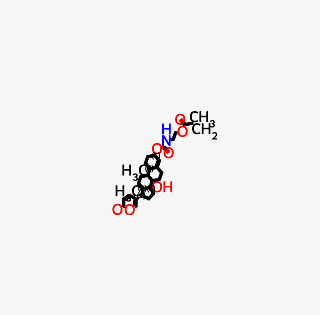 C=C(C)C(=O)OCCNC(=O)O[C@@H]1C=C2CCC3C(CC[C@]4(C)[C@@H](c5ccc(=O)oc5)CC[C@]34O)[C@@]2(C)CC1